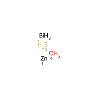 O.S.[BiH3].[Zn]